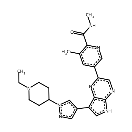 CCN1CCC(n2cc(-c3c[nH]c4ncc(-c5cnc(C(=O)NC)c(C)c5)nc34)cn2)CC1